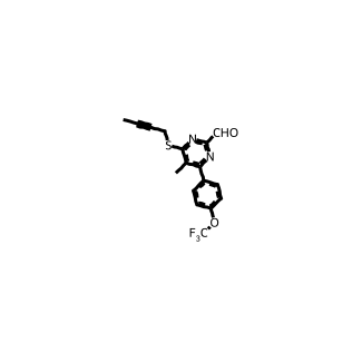 CC#CCSc1nc(C=O)nc(-c2ccc(OC(F)(F)F)cc2)c1C